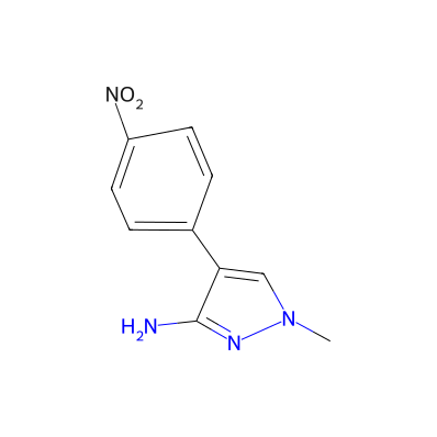 Cn1cc(-c2ccc([N+](=O)[O-])cc2)c(N)n1